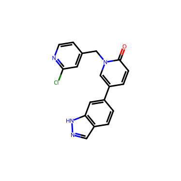 O=c1ccc(-c2ccc3cn[nH]c3c2)cn1Cc1ccnc(Cl)c1